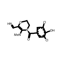 CNC1=C(C=N)OCCN1C(=O)c1cc(Cl)c(O)c(Cl)c1